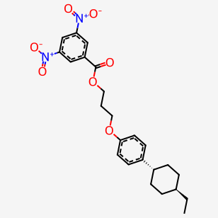 CC[C@H]1CC[C@H](c2ccc(OCCCOC(=O)c3cc([N+](=O)[O-])cc([N+](=O)[O-])c3)cc2)CC1